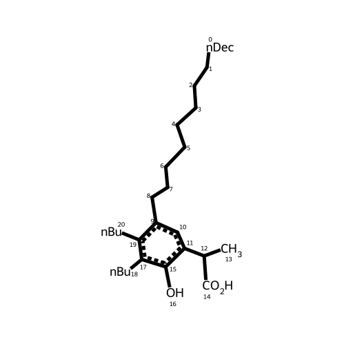 CCCCCCCCCCCCCCCCCCc1cc(C(C)C(=O)O)c(O)c(CCCC)c1CCCC